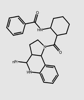 CCCC1Nc2ccccc2C2C1CCN2C(=O)C1CCCCC1NC(=O)c1ccccc1